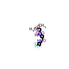 COc1ccc(-n2c(=O)[nH]c3cc(C(=O)NCc4ccc(C(F)(F)F)cc4)ccc3c2=O)nc1OC